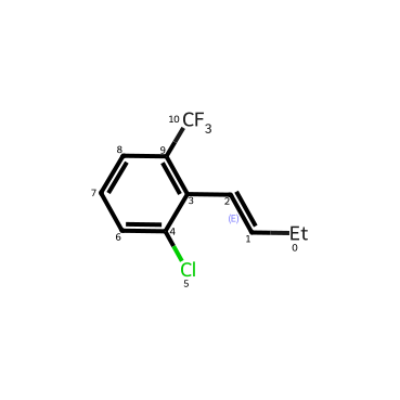 CC/C=C/c1c(Cl)cccc1C(F)(F)F